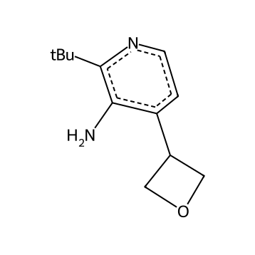 CC(C)(C)c1nccc(C2COC2)c1N